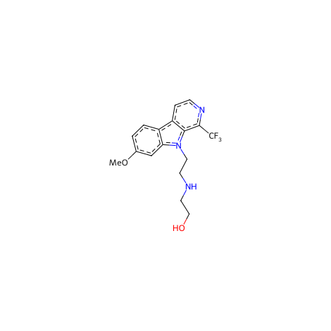 COc1ccc2c3ccnc(C(F)(F)F)c3n(CCNCCO)c2c1